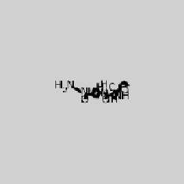 Cc1c(C(=O)Nc2ccc(C(=O)NCCCN)cc2)n[nH]c1-c1ccco1